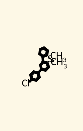 CS1(C)c2ccccc2-c2cc(-c3ccc(Cl)cc3)ccc21